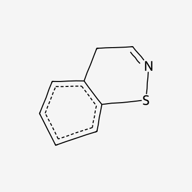 C1=NSc2ccccc2C1